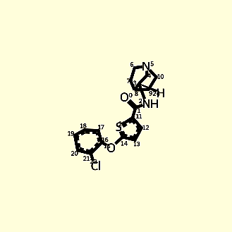 O=C(N[C@H]1CN2CCC1CC2)c1ccc(Oc2ccccc2Cl)s1